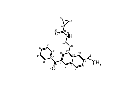 COc1ccc2cc(C(=O)c3ccccc3)cc(CCNC(=O)C3CC3)c2c1